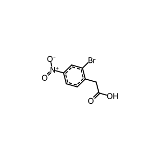 O=C(O)Cc1ccc([N+](=O)[O-])cc1Br